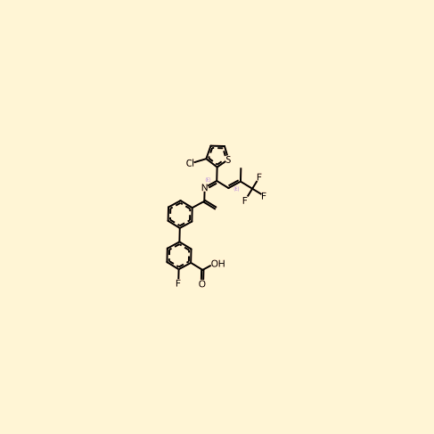 C=C(/N=C(\C=C(/C)C(F)(F)F)c1sccc1Cl)c1cccc(-c2ccc(F)c(C(=O)O)c2)c1